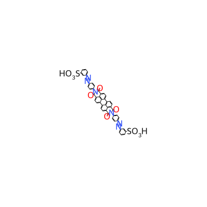 O=C1c2ccc3c4ccc5c6c(ccc(c7ccc(c2c37)C(=O)N1c1ccc(N=Nc2cccc(S(=O)(=O)O)c2)cc1)c64)C(=O)N(c1ccc(N=Nc2cccc(S(=O)(=O)O)c2)cc1)C5=O